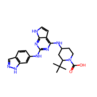 CC(C)(C)C1CC(Nc2nc(Nc3ccc4cn[nH]c4c3)nc3[nH]ccc23)CCN1C(=O)O